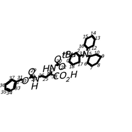 C1CCC(N(C2CCCCC2)C2CCCCC2)CC1.CC(C)(C)OC(=O)N[C@H](CCNC(=O)OCc1ccccc1)C(=O)O